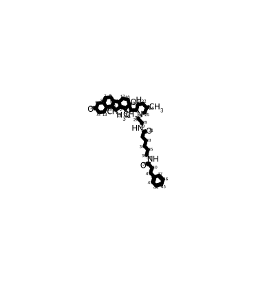 CC1=C2CC3C(CC=C4CC(=O)CCC43C)C2CCC12O[C@@H]1CC(C)CN(CCNC(=O)CCCCCNC(=O)CCc3ccccc3)C1[C@H]2C